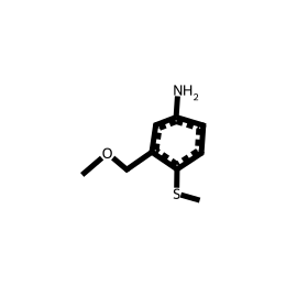 COCc1cc(N)ccc1SC